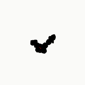 c1cc2ccc(-c3ccccc3N(c3ccc(-c4ccc(-c5nc6ccccc6o5)cc4)cc3)c3ccc(-c4ccc5c(c4)oc4ccccc45)cc3)sc-2c1